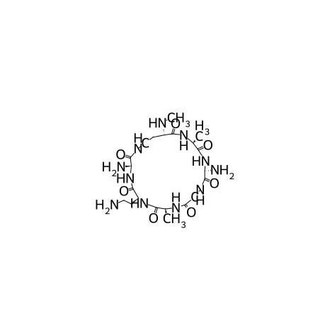 CN[C@H]1CCNC(=O)[C@H](N)NC(=O)[C@H](CCN)NC(=O)[C@H](C)NC(=O)CNC(=O)[C@@H](N)NC(=O)[C@H](C)NC1=O